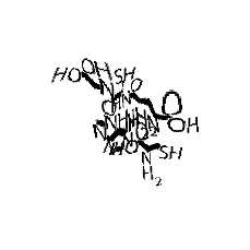 N[C@@H](CCC(=O)N[C@@H](CS)C(=O)NCC(=O)O)C(=O)O.N[C@@H](CS)C(=O)O.Nc1ncnc2nc[nH]c12